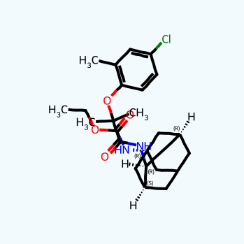 CCOC(=O)N[C@@]12CC3C[C@H](C1)[C@H](NC(=O)C(C)(C)Oc1ccc(Cl)cc1C)[C@@H](C3)C2